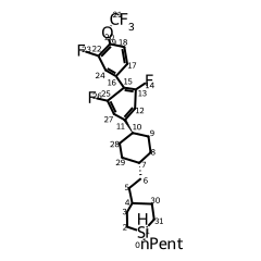 CCCCC[SiH]1CCC(CC[C@H]2CC[C@H](c3cc(F)c(-c4ccc(OC(F)(F)F)c(F)c4)c(F)c3)CC2)CC1